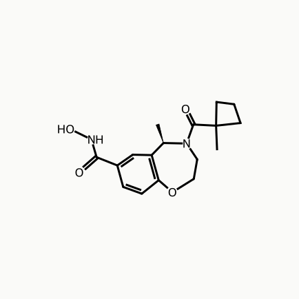 C[C@@H]1c2cc(C(=O)NO)ccc2OCCN1C(=O)C1(C)CCC1